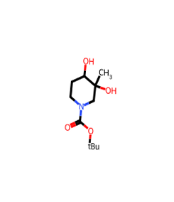 CC(C)(C)OC(=O)N1CCC(O)C(C)(O)C1